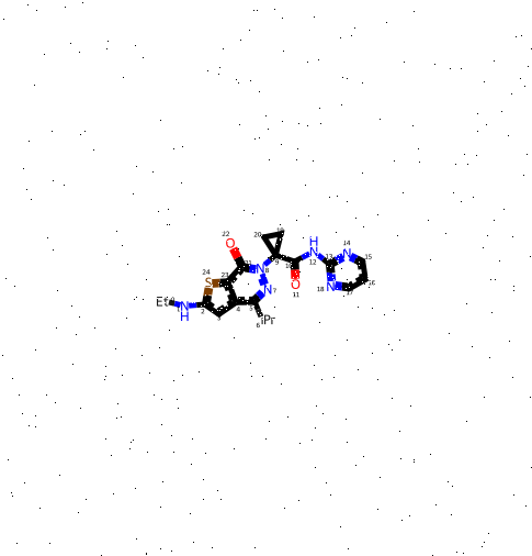 CCNc1cc2c(C(C)C)nn(C3(C(=O)Nc4ncccn4)CC3)c(=O)c2s1